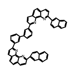 c1cc(-c2cccc(-c3ccc4ccc5ccc(-c6ccc7ccccc7c6)nc5c4n3)c2)cc(-c2ccc3ccc4ccc(-c5ccc6ccccc6c5)nc4c3n2)c1